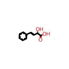 O=C(O)[C@H](O)C=Cc1ccccc1